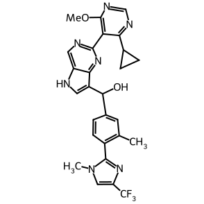 COc1ncnc(C2CC2)c1-c1ncc2[nH]cc(C(O)c3ccc(-c4nc(C(F)(F)F)cn4C)c(C)c3)c2n1